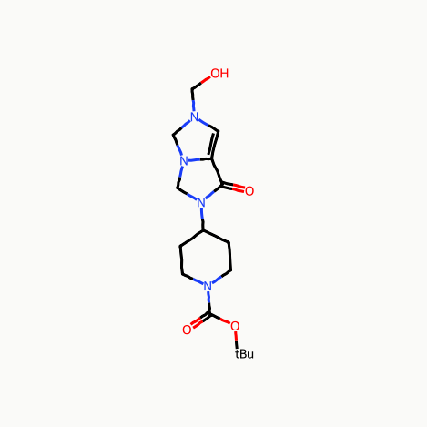 CC(C)(C)OC(=O)N1CCC(N2CN3CN(CO)C=C3C2=O)CC1